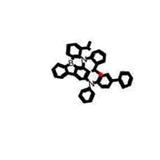 CC(C)c1ccccc1N1c2cc(N(c3ccccc3)c3ccc(-c4ccccc4)cc3)cc3c2B(c2ccccc2-3)c2cccc(C(C)C)c21